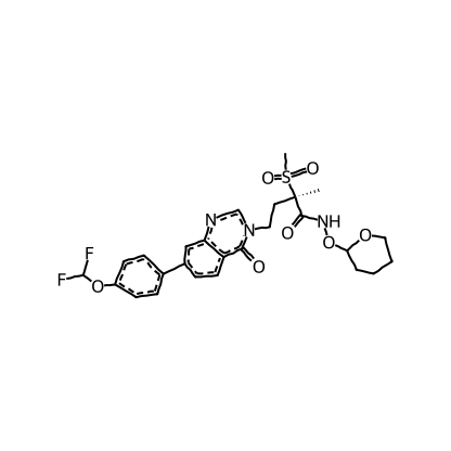 C[C@@](CCn1cnc2cc(-c3ccc(OC(F)F)cc3)ccc2c1=O)(C(=O)NOC1CCCCO1)S(C)(=O)=O